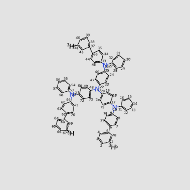 [3H]c1cccc(-c2ccc(N(c3ccccc3)c3ccc(N(c4ccc(N(c5ccccc5)c5ccc(-c6cccc([3H])c6)cc5)cc4)c4ccc(N(c5ccccc5)c5ccc(-c6cccc([3H])c6)cc5)cc4)cc3)cc2)c1